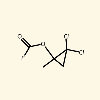 CC1(OC(=O)F)CC1(Cl)Cl